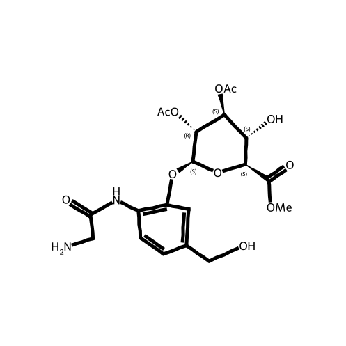 COC(=O)[C@H]1O[C@@H](Oc2cc(CO)ccc2NC(=O)CN)[C@H](OC(C)=O)[C@@H](OC(C)=O)[C@@H]1O